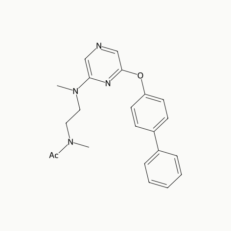 CC(=O)N(C)CCN(C)c1cncc(Oc2ccc(-c3ccccc3)cc2)n1